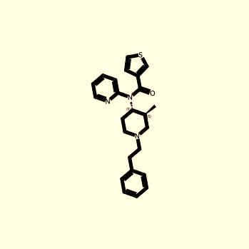 C[C@H]1CN(CCc2ccccc2)CC[C@@H]1N(C(=O)c1ccsc1)c1ccccn1